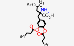 CC(=O)O[C@@H](C)CC(N)(Cc1ccc(OC(=O)CCC(C)C)c(OC(=O)CCC(C)C)c1)C(=O)O